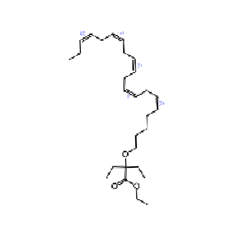 CC/C=C\C/C=C\C/C=C\C/C=C\C/C=C\CCCCOC(CC)(CC)C(=O)OCC